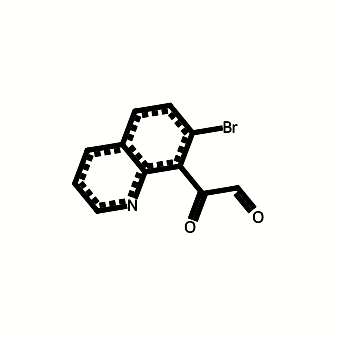 O=CC(=O)c1c(Br)ccc2cccnc12